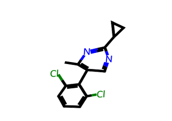 Cc1nc(C2CC2)ncc1-c1c(Cl)cccc1Cl